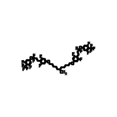 CC(CCCCCOc1cc(F)c(CCC(F)(F)Oc2cc(F)c(C(F)(F)F)c(F)c2)c(F)c1)CCCCCOc1cc(F)c(CCC(F)(F)Oc2cc(F)c(C(F)(F)F)c(F)c2)c(F)c1